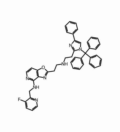 Fc1cccnc1CNc1nccc2oc(CCNCCc3nc(-c4ccccc4)cn3C(c3ccccc3)(c3ccccc3)c3ccccc3)nc12